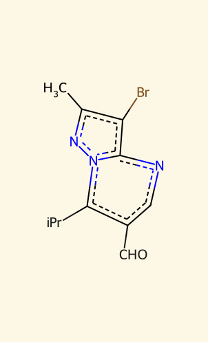 Cc1nn2c(C(C)C)c(C=O)cnc2c1Br